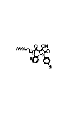 COCCOc1ncccc1[C@@H]1C(C(=O)C(C)C)=C(O)C(=O)N1c1ccc(Br)cc1